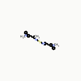 C=CC(/C=C/c1ccc2c(c1)c1ccccc1n2C)=C\C=N\CCSSCC[n+]1ccc(/C=C/c2ccc3c(c2)c2ccccc2n3C)cc1